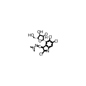 CN(C)N=C=C1C(Cl)=Nc2cc(Cl)c(Cl)c([C@@H]3O[C@H](CO)[C@@H](O)[C@H]3O)c21